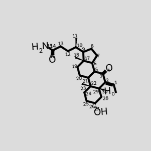 C/C=C1/C(=O)C2C3CCC([C@H](C)CCC(N)=O)[C@@]3(C)CCC2[C@@]2(C)CC[C@@H](O)C[C@@H]12